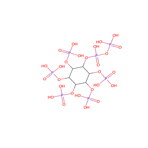 O=P(O)(O)OC1C(OP(=O)(O)O)C(OP(=O)(O)O)C(OP(=O)(O)OP(=O)(O)O)C(OP(=O)(O)O)C1OP(=O)(O)O